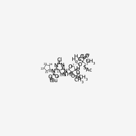 CC(=O)SCC(C)(OC[C@H]1O[C@@H](n2ncc3c(N(C(=O)OC(C)(C)C)C4CCCC4)nc(Cl)nc32)[C@@H]2OC(C)(C)O[C@@H]21)P(C)(C)=O